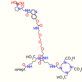 CCCCCCCC(=O)NCCCCC(NC(=O)C(CCCCNC(=O)CN1CCN(CC(=O)O)CCN(CC(=O)O)CCN(CC(=O)O)CC1)NC(=O)CCOCCOCCOCCNC(=O)COc1ccc2c(C(=O)NCC(=O)N3CCCC3B(O)O)ccnc2c1)C(=O)O